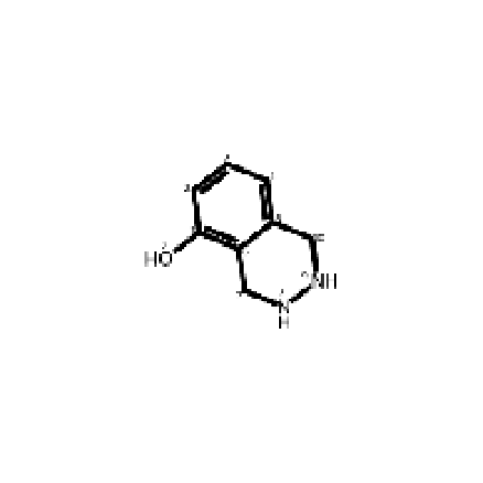 Oc1cccc2c1CNNC2